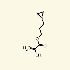 C=C(C)C(=O)OCCCN1CC1